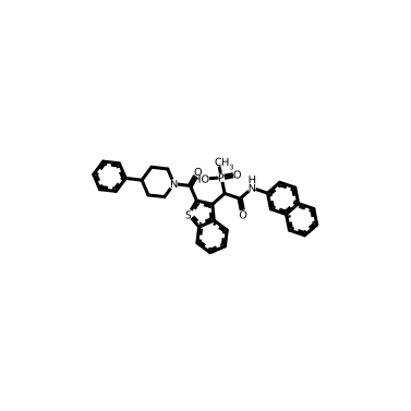 CP(=O)(O)C(C(=O)Nc1ccc2ccccc2c1)c1c(C(=O)N2CCC(c3ccccc3)CC2)sc2ccccc12